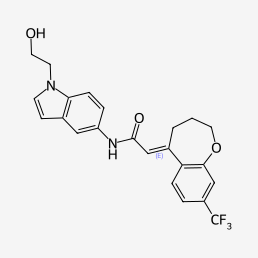 O=C(/C=C1\CCCOc2cc(C(F)(F)F)ccc21)Nc1ccc2c(ccn2CCO)c1